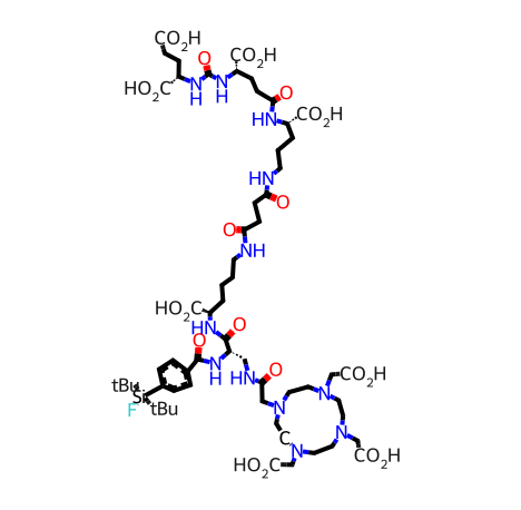 CC(C)(C)[Si](F)(c1ccc(C(=O)N[C@@H](CNC(=O)CN2CCN(CC(=O)O)CCN(CC(=O)O)CCN(CC(=O)O)CC2)C(=O)N[C@H](CCCCNC(=O)CCC(=O)NCCC[C@H](NC(=O)CC[C@H](NC(=O)N[C@@H](CCC(=O)O)C(=O)O)C(=O)O)C(=O)O)C(=O)O)cc1)C(C)(C)C